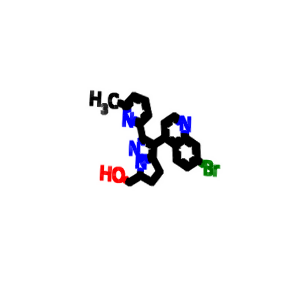 Cc1cccc(-c2nn3c(c2-c2ccnc4cc(Br)ccc24)CCC3CO)n1